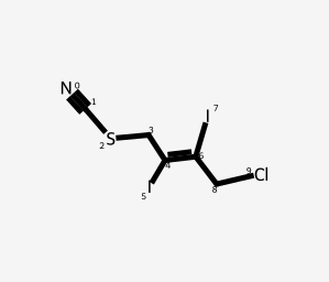 N#CSC/C(I)=C(\I)CCl